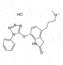 CN(C)CCCc1ccc(Oc2nnnn2-c2ccccc2)c2c1CC(=O)N2.Cl